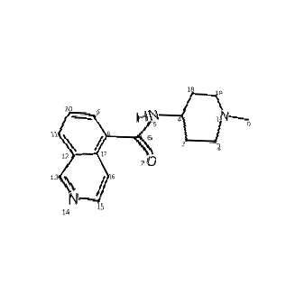 CN1CCC(NC(=O)c2cccc3cnccc23)CC1